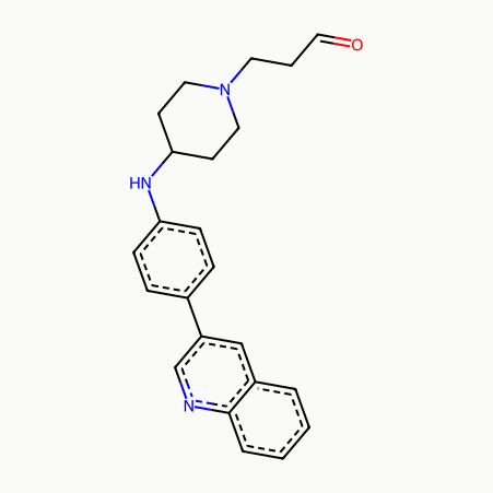 O=CCCN1CCC(Nc2ccc(-c3cnc4ccccc4c3)cc2)CC1